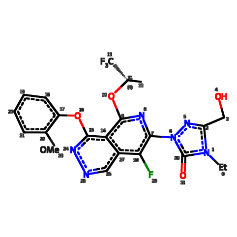 CCn1c(CO)nn(-c2nc(O[C@@H](C)C(F)(F)F)c3c(Oc4ccccc4OC)nncc3c2F)c1=O